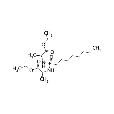 CCCCCCCCP(=O)(N[C@@H](C)C(=O)OCC)N[C@@H](C)C(=O)OCC